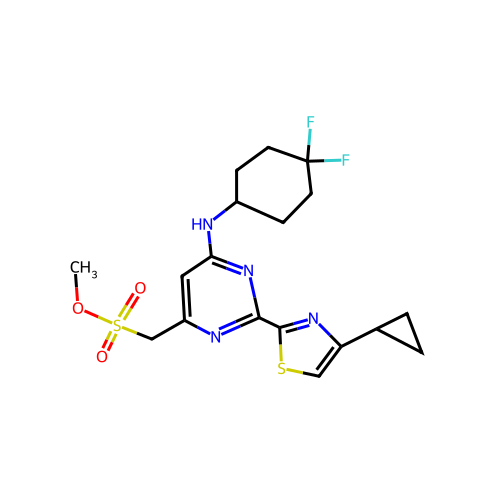 COS(=O)(=O)Cc1cc(NC2CCC(F)(F)CC2)nc(-c2nc(C3CC3)cs2)n1